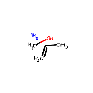 C=CC.CO.N